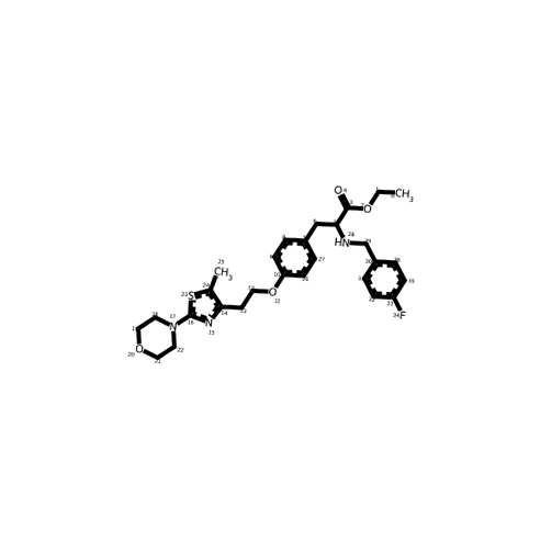 CCOC(=O)C(Cc1ccc(OCCc2nc(N3CCOCC3)sc2C)cc1)NCc1ccc(F)cc1